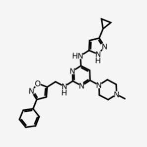 CN1CCN(c2cc(Nc3cc(C4CC4)n[nH]3)nc(NCc3cc(-c4ccccc4)no3)n2)CC1